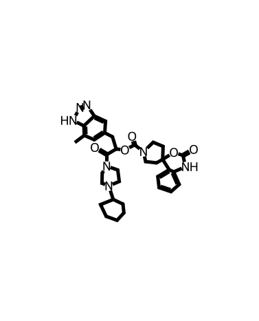 Cc1cc(CC(OC(=O)N2CCC3(CC2)OC(=O)Nc2ccccc23)C(=O)N2CCN(C3CCCCC3)CC2)cc2nn[nH]c12